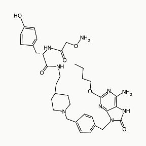 CCCCOc1nc(N)c2[nH]c(=O)n(Cc3ccc(CN4CCC(CCNC(=O)[C@H](Cc5ccc(O)cc5)NC(=O)CON)CC4)cc3)c2n1